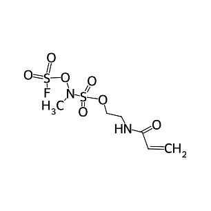 C=CC(=O)NCCOS(=O)(=O)N(C)OS(=O)(=O)F